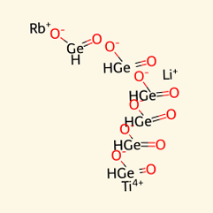 [Li+].[O]=[GeH][O-].[O]=[GeH][O-].[O]=[GeH][O-].[O]=[GeH][O-].[O]=[GeH][O-].[O]=[GeH][O-].[Rb+].[Ti+4]